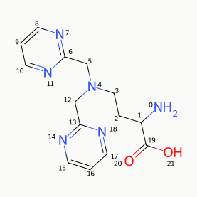 NC(CCN(Cc1ncccn1)Cc1ncccn1)C(=O)O